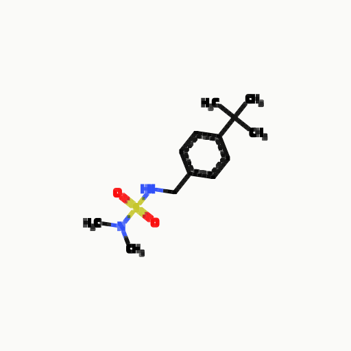 CN(C)S(=O)(=O)NCc1ccc(C(C)(C)C)cc1